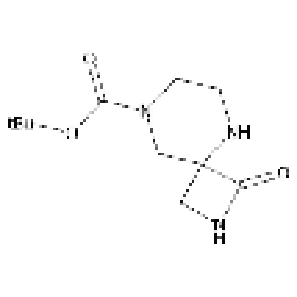 CC(C)(C)OC(=O)N1CCNC2(CNC2=O)C1